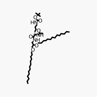 CCCCCCCCCCCCCCOCC(CNC(=O)[C@H](CCCCNC(=O)OC(C)(C)C)NC(C)=O)OCCCCCCCCCCCCCC